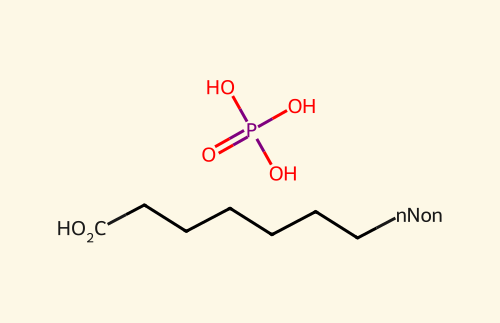 CCCCCCCCCCCCCCCC(=O)O.O=P(O)(O)O